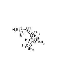 BC(C)OCCC(C)(C)OCC(COC(C)(C)CCOC(B)C)OC(C)(C)CCOC(B)C